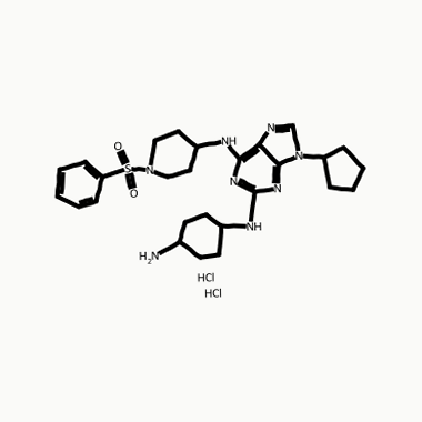 Cl.Cl.NC1CCC(Nc2nc(NC3CCN(S(=O)(=O)c4ccccc4)CC3)c3ncn(C4CCCC4)c3n2)CC1